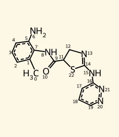 Cc1cccc(N)c1NC(=O)C1CN=C(Nc2cccnn2)S1